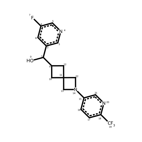 OC(c1cncc(F)c1)C1CC2(C1)CN(c1ccc(C(F)(F)F)nc1)C2